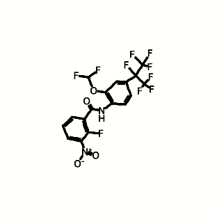 O=C(Nc1ccc(C(F)(C(F)(F)F)C(F)(F)F)cc1OC(F)F)c1cccc([N+](=O)[O-])c1F